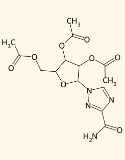 CC(=O)OCC1OC(n2cnc(C(N)=O)n2)C(OC(C)=O)C1OC(C)=O